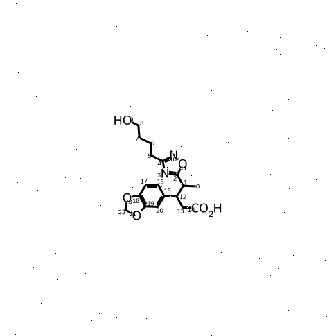 CC(c1nc(CCCCO)no1)C(CC(=O)O)c1ccc2c(c1)OCO2